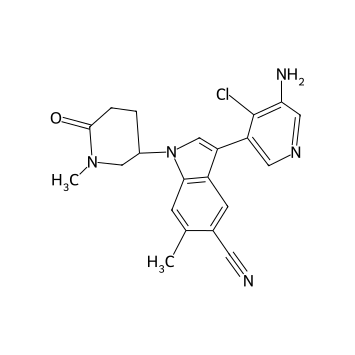 Cc1cc2c(cc1C#N)c(-c1cncc(N)c1Cl)cn2C1CCC(=O)N(C)C1